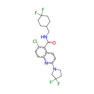 O=C(NCC1CCC(F)(F)CC1)c1c(Cl)ccc2nc(N3CCC(F)(F)C3)ccc12